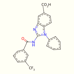 O=C(O)c1ccc2c(c1)nc(NC(=O)c1cccc(C(F)(F)F)c1)n2-c1ccccc1